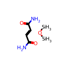 NC(=O)/C=C/C(N)=O.[SiH3]O[SiH3]